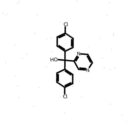 OC(c1ccc(Cl)cc1)(c1ccc(Cl)cc1)c1cnccn1